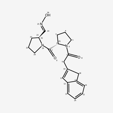 O=C([C@@H]1CCCN1C(=O)CC1=Cc2ccccc2C1)N1CCC[C@H]1C=NO